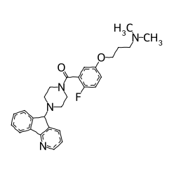 CN(C)CCCOc1ccc(F)c(C(=O)N2CCN(C3c4ccccc4-c4ncccc43)CC2)c1